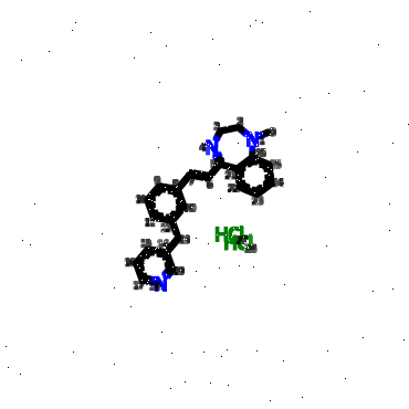 CN1CCN=C(C=Cc2cccc(Cc3cccnc3)c2)c2ccccc21.Cl.Cl